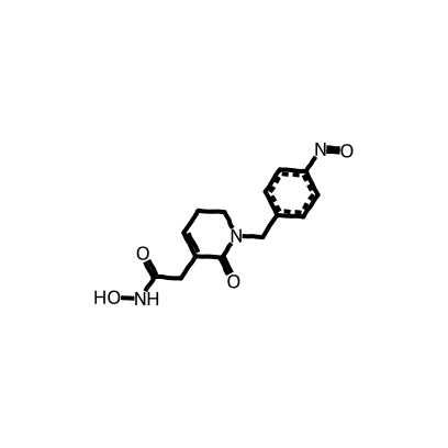 O=Nc1ccc(CN2CCC=C(CC(=O)NO)C2=O)cc1